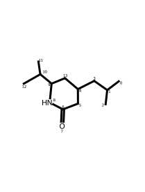 CC(C)CC1CC(=O)NC(C(C)C)C1